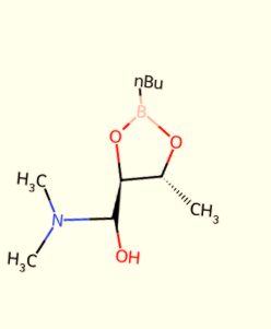 CCCCB1O[C@H](C(O)N(C)C)[C@@H](C)O1